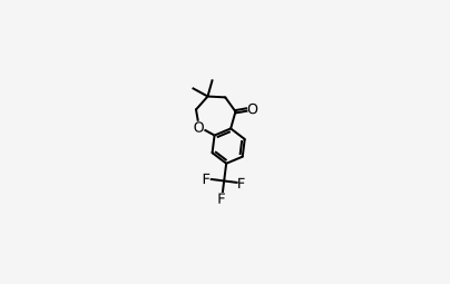 CC1(C)COc2cc(C(F)(F)F)ccc2C(=O)C1